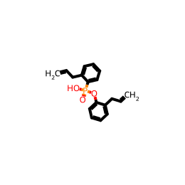 C=CCc1ccccc1OP(=O)(O)c1ccccc1CC=C